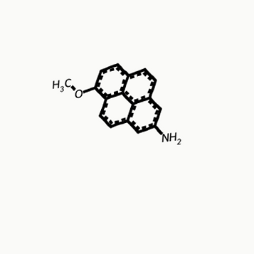 COc1ccc2ccc3cc(N)cc4ccc1c2c34